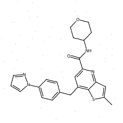 Cc1cc2nc(C(=O)NC3CCOCC3)cc(Cc3ccc(-n4cccn4)cc3)c2s1